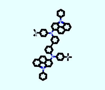 C[SiH](C)c1ccc(N(c2cccc(-c3cccc(N(c4ccc([Si](C)(C)C)cc4)c4ccc5c6c4ccc4cccc(c46)n5-c4ccccc4)c3)c2)c2ccc3c4c2ccc2cccc(c24)n3-c2ccccc2)cc1